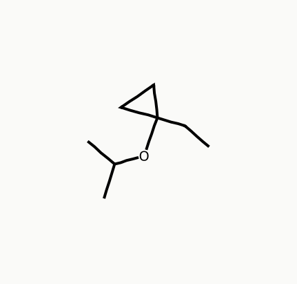 CCC1(OC(C)C)CC1